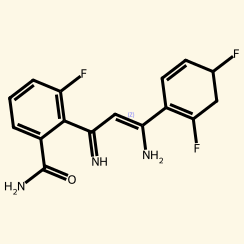 N=C(/C=C(\N)C1=C(F)CC(F)C=C1)c1c(F)cccc1C(N)=O